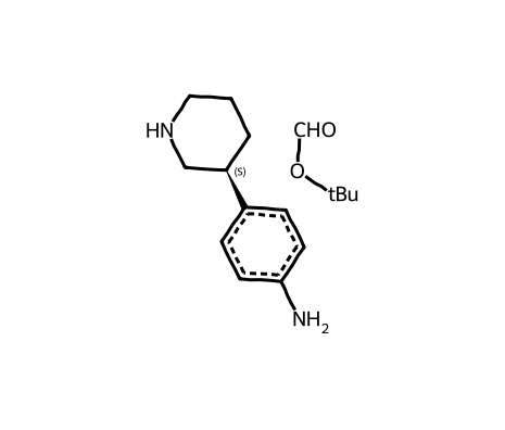 CC(C)(C)OC=O.Nc1ccc([C@@H]2CCCNC2)cc1